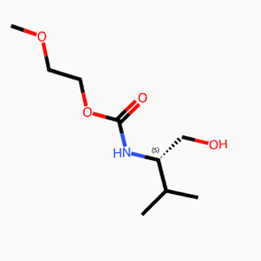 COCCOC(=O)N[C@H](CO)C(C)C